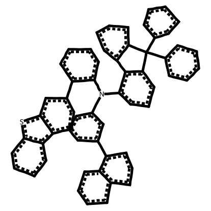 c1ccc(C2(c3ccccc3)c3ccccc3-c3c(N(c4cccc(-c5cccc6ccccc56)c4)c4ccccc4-c4ccc5c(c4)sc4ccccc45)cccc32)cc1